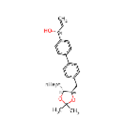 C=C[C@@H](O)c1ccc(-c2ccc(C[C@H]3OC(C)(C)O[C@@H]3CCCCCCC)cc2)cc1